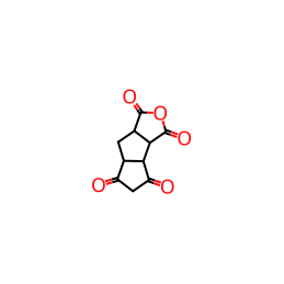 O=C1CC(=O)C2C1CC1C(=O)OC(=O)C12